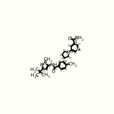 Cc1ccc(C(=O)Nc2cc(C(C)(C)C)nn2C)cc1[C@@H]1CCN(c2cncc(C(N)=O)c2)C1